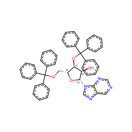 O[C@@H]1[C@H](OC(c2ccccc2)(c2ccccc2)c2ccccc2)[C@@H](COC(c2ccccc2)(c2ccccc2)c2ccccc2)O[C@H]1n1cnc2cncnc21